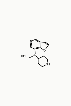 CN(c1cncc2ccoc12)C1CCNCC1.Cl